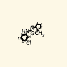 CN1CCC/C1=N/C(=O)Nc1cccc(Cl)c1